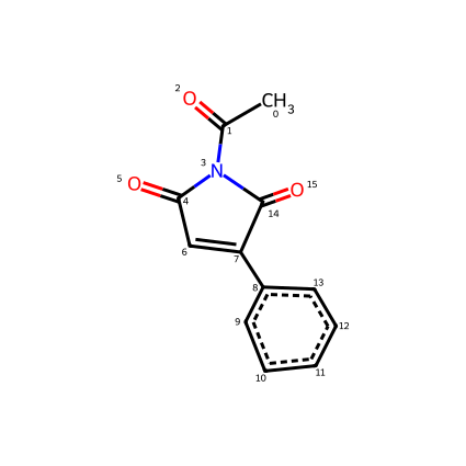 CC(=O)N1C(=O)C=C(c2ccccc2)C1=O